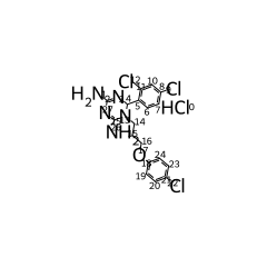 Cl.NC1=NC(c2ccc(Cl)cc2Cl)N(CCCOc2ccc(Cl)cc2)C(N)=N1